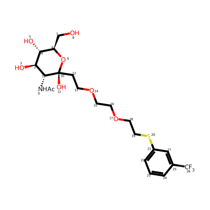 CC(=O)N[C@@H]1[C@@H](O)[C@H](O)[C@@H](CO)O[C@]1(O)CCOCCOCCSc1cccc(C(F)(F)F)c1